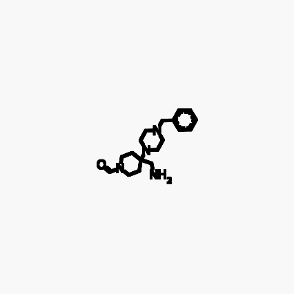 NCC1(N2CCN(Cc3ccccc3)CC2)CCN(C=O)CC1